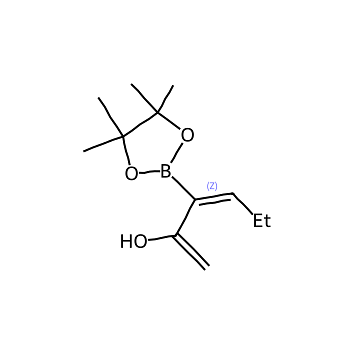 C=C(O)/C(=C\CC)B1OC(C)(C)C(C)(C)O1